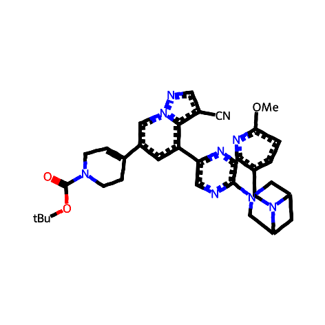 COc1ccc(CN2C3CC2CN(c2cnc(-c4cc(C5=CCN(C(=O)OC(C)(C)C)CC5)cn5ncc(C#N)c45)cn2)C3)cn1